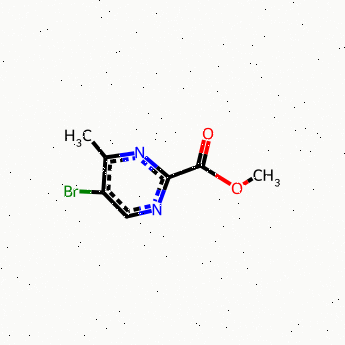 COC(=O)c1ncc(Br)c(C)n1